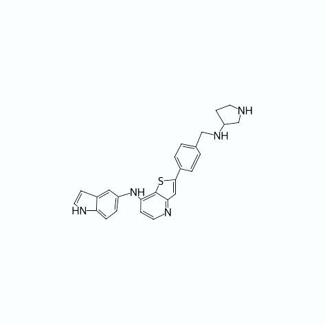 c1cc(Nc2ccc3[nH]ccc3c2)c2sc(-c3ccc(CNC4CCNC4)cc3)cc2n1